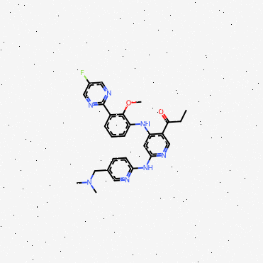 CCC(=O)c1cnc(Nc2ccc(CN(C)C)cn2)cc1Nc1cccc(-c2ncc(F)cn2)c1OC